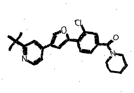 CC(C)(C)c1cc(-c2coc(-c3ccc(C(=O)N4CCCCC4)cc3Cl)c2)ccn1